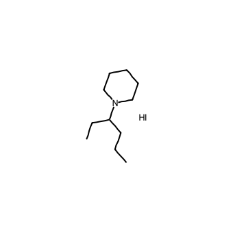 CCCC(CC)N1CCCCC1.I